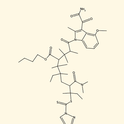 CCCCOC(=O)C(C(C)(C)C(C)C(=O)n1c(C)c(C(=O)C(N)=O)c2c(OC)cccc21)C(C)(C)C(C)(CC)CC(C(=O)N(C)C)C(C)(CC)SC(=S)n1cccn1